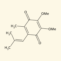 COC1=C(OC)C(=O)C(C=C(C)C)=C(C)C1=O